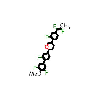 COc1c(F)cc(-c2ccc(C3CCC(c4ccc(/C(F)=C(/C)F)cc4F)CO3)cc2F)cc1F